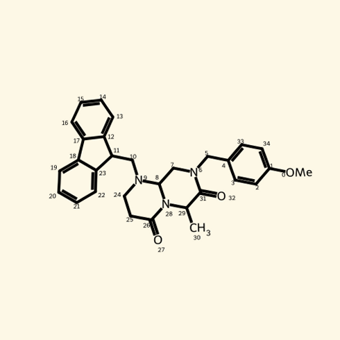 COc1ccc(CN2CC3N(CC4c5ccccc5-c5ccccc54)CCC(=O)N3C(C)C2=O)cc1